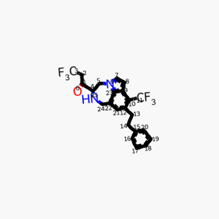 O=C(CC(F)(F)F)C1Cn2ccc3c(C(F)(F)F)c(CCc4ccccc4)cc(c32)CN1